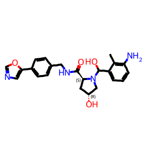 Cc1c(N)cccc1C(O)N1C[C@H](O)C[C@H]1C(=O)NCc1ccc(-c2cnco2)cc1